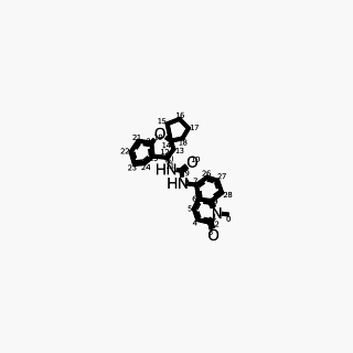 Cn1c(=O)ccc2c(NC(=O)N[C@@H]3CC4(CCCC4)Oc4ccccc43)cccc21